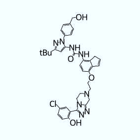 CC(C)(C)c1cc(NC(=O)Nc2ccc(OCCN3CCn4c(nnc4-c4cc(Cl)ccc4O)C3)c3c2CC=C3)n(-c2ccc(CO)cc2)n1